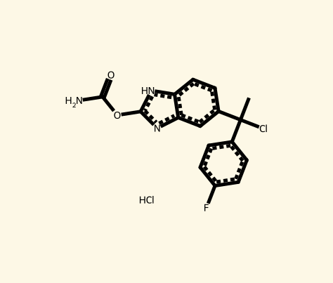 CC(Cl)(c1ccc(F)cc1)c1ccc2[nH]c(OC(N)=O)nc2c1.Cl